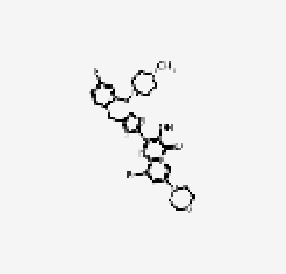 CN1CCN(Cc2cc(F)ccc2Cc2cnc(-c3nc4c(Br)cc(N5CCOCC5)cn4c(=O)c3O)s2)CC1